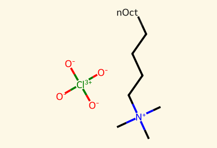 CCCCCCCCCCCC[N+](C)(C)C.[O-][Cl+3]([O-])([O-])[O-]